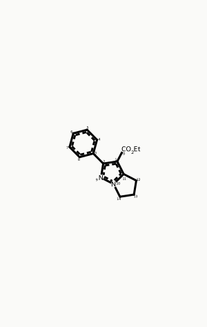 CCOC(=O)c1c(-c2ccccc2)nn2c1CCC2